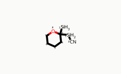 N#C[SiH2]C1([SiH3])CCCCO1